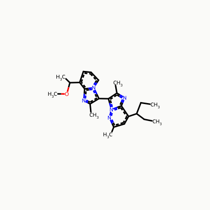 CCC(CC)c1cc(C)nn2c(-c3c(C)nc4c(C(C)OC)cccn34)c(C)nc12